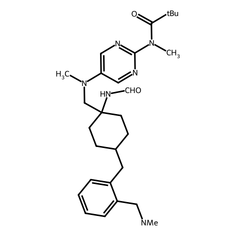 CNCc1ccccc1CC1CCC(CN(C)c2cnc(N(C)C(=O)C(C)(C)C)nc2)(NC=O)CC1